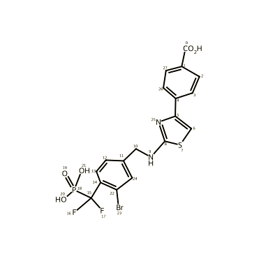 O=C(O)c1ccc(-c2csc(NCc3ccc(C(F)(F)P(=O)(O)O)c(Br)c3)n2)cc1